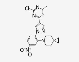 Cc1cc(-c2cnn(-c3ccc([N+](=O)[O-])cc3N3CCC4(CC3)CC4)c2)nc(Cl)n1